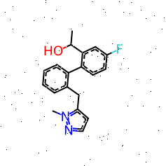 CC(O)c1cc(F)ccc1-c1ccccc1Cc1ccnn1C